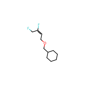 FC/C(F)=C\COCC1CCCCC1